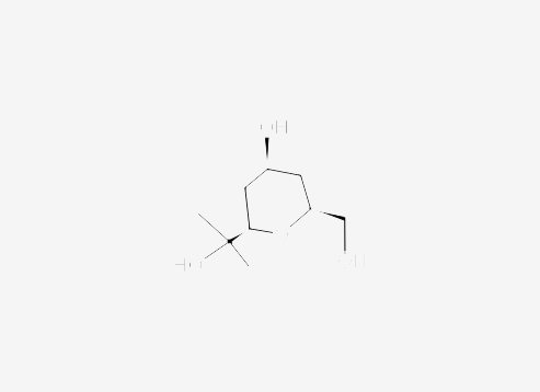 CC(C)(O)[C@H]1C[C@@H](O)C[C@@H](CO)O1